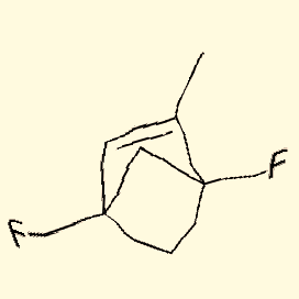 CC1=CC2(F)CC1(F)C2